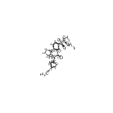 Cc1csc(NC(=O)c2cc(S(=O)(=O)N(C)C)ccc2N2CCCC2)n1